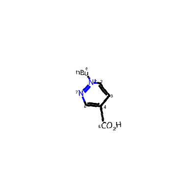 CCCC[n+]1ccc(C(=O)O)cn1